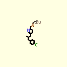 CC(Cc1ccc(Cl)cc1)Cc1ccc(CSCC(C)(C)C)nc1